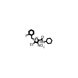 CCc1c([N+](=O)[O-])c(C(=O)NC2CCCCC2)nn1Cc1ccccc1F